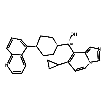 O[C@H](c1c(C2CC2)ccn2cncc12)[C@H]1CC[C@H](c2cccc3ncccc32)CC1